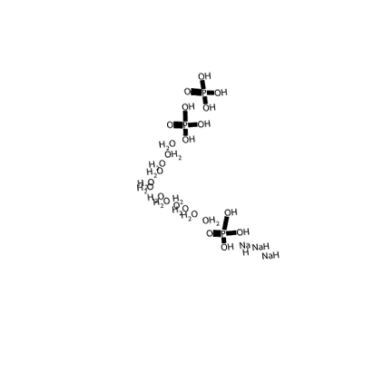 O.O.O.O.O.O.O.O.O.O.O.O.O=P(O)(O)O.O=P(O)(O)O.O=P(O)(O)O.[NaH].[NaH].[NaH]